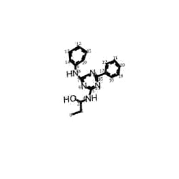 CCC(O)Nc1nc(Nc2ccccc2)nc(-c2ccccc2)n1